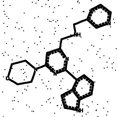 c1cncc(CNCc2cc(N3CCOCC3)nc(-c3cccc4[nH]ccc34)n2)c1